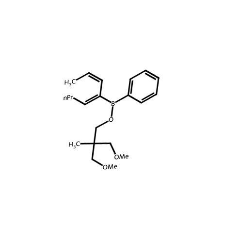 C/C=C\C(=C/CCC)B(OCC(C)(COC)COC)c1ccccc1